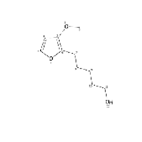 COc1ccoc1CCCCCO